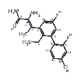 CCc1c(/C(C)=C(\N)C(N)=O)cc(F)cc1-c1ccc(Cl)cc1F